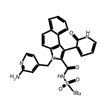 CC(C)(C)S(=O)(=O)NC(=O)c1c(-c2ccc[nH]c2=O)c2c3ccccc3ccc2n1Cc1ccnc(N)c1